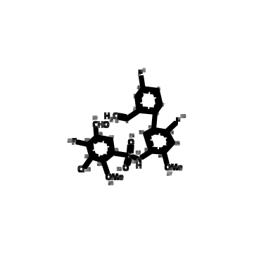 C=Cc1cc(F)ccc1-c1cc(NS(=O)(=O)c2cc(C=O)c(F)c(Cl)c2OC)c(OC)cc1F